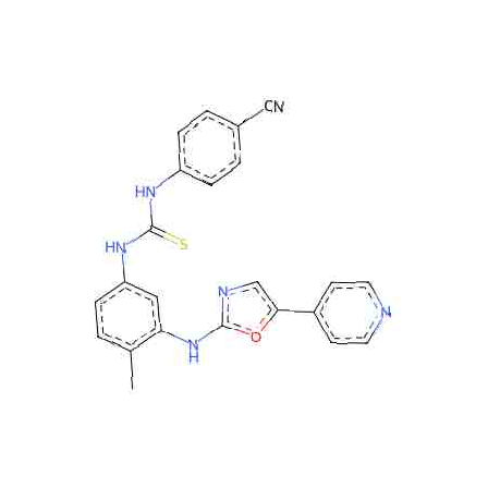 Cc1ccc(NC(=S)Nc2ccc(C#N)cc2)cc1Nc1ncc(-c2ccncc2)o1